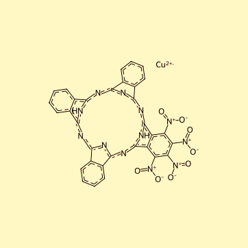 O=[N+]([O-])c1c([N+](=O)[O-])c([N+](=O)[O-])c2c3nc4nc(nc5[nH]c(nc6nc(nc([nH]3)c2c1[N+](=O)[O-])-c1ccccc1-6)c1ccccc51)-c1ccccc1-4.[Cu+2]